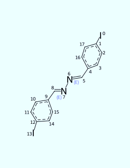 Ic1ccc(/C=N/N=C/c2ccc(I)cc2)cc1